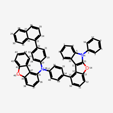 c1ccc(-n2c3ccccc3c3c4c(-c5ccc(N(c6ccc(-c7cccc8ccccc78)cc6)c6cccc7oc8ccccc8c67)cc5)cccc4oc32)cc1